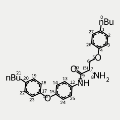 CCCCc1ccc(OC[C@H](N)C(=O)Nc2ccc(Oc3ccc(CCCC)cc3)cc2)cc1